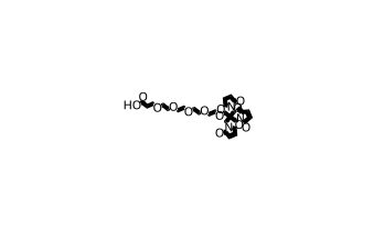 O=C(O)CCOCCOCCOCCOCCOCC(CN1C(=O)C=CC1=O)(CN1C(=O)C=CC1=O)CN1C(=O)CCC1=O